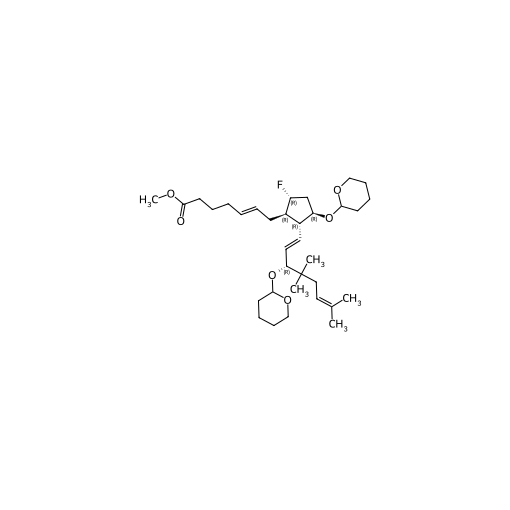 COC(=O)CCCC=CC[C@@H]1[C@@H](C=C[C@@H](OC2CCCCO2)C(C)(C)CC=C(C)C)[C@H](OC2CCCCO2)C[C@H]1F